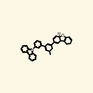 CC1C=C(c2cccc(-n3c4ccccc4c4ccccc43)c2)C=C(C2=CC3C4=C(C=CCC4)O[C@H]3C=C2)C1